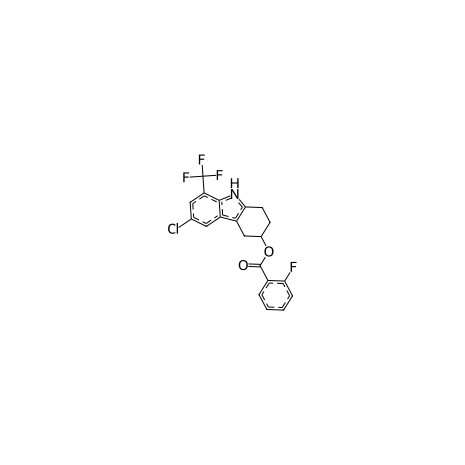 O=C(OC1CCc2[nH]c3c(C(F)(F)F)cc(Cl)cc3c2C1)c1ccccc1F